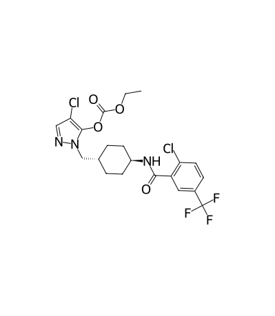 CCOC(=O)Oc1c(Cl)cnn1C[C@H]1CC[C@H](NC(=O)c2cc(C(F)(F)F)ccc2Cl)CC1